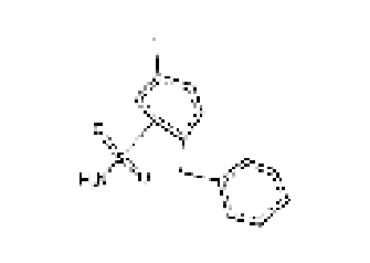 Cc1ccc(Cc2ccccc2)c(S(N)(=O)=O)c1